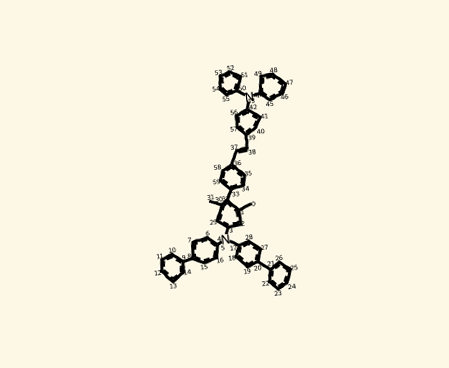 Cc1cc(N(c2ccc(-c3ccccc3)cc2)c2ccc(-c3ccccc3)cc2)cc(C)c1-c1ccc(C=Cc2ccc(N(c3ccccc3)c3ccccc3)cc2)cc1